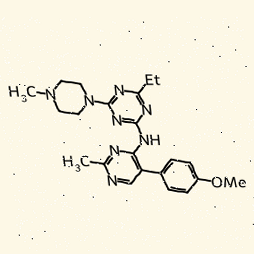 CCc1nc(Nc2nc(C)ncc2-c2ccc(OC)cc2)nc(N2CCN(C)CC2)n1